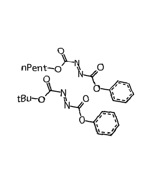 CC(C)(C)OC(=O)N=NC(=O)Oc1ccccc1.CCCCCOC(=O)N=NC(=O)Oc1ccccc1